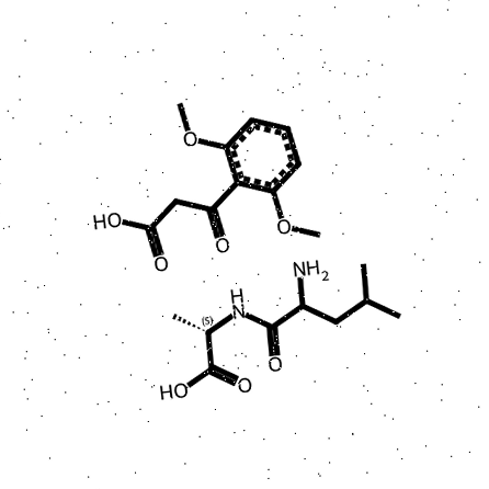 CC(C)CC(N)C(=O)N[C@@H](C)C(=O)O.COc1cccc(OC)c1C(=O)CC(=O)O